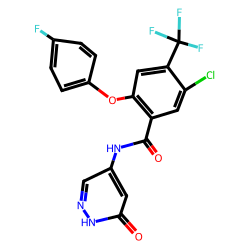 O=C(Nc1cn[nH]c(=O)c1)c1cc(Cl)c(C(F)(F)F)cc1Oc1ccc(F)cc1